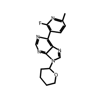 Cc1ccc(-c2ncnc3c2ncn3C2CCCCO2)c(F)n1